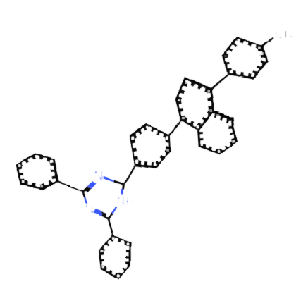 N#Cc1ccc(-c2ccc(-c3ccc(C4N=C(c5ccccc5)N=C(c5ccccc5)N4)cc3)c3ccccc23)cc1